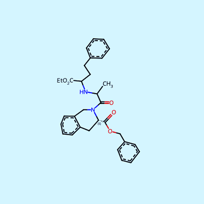 CCOC(=O)C(CCc1ccccc1)NC(C)C(=O)N1Cc2ccccc2C[C@H]1C(=O)OCc1ccccc1